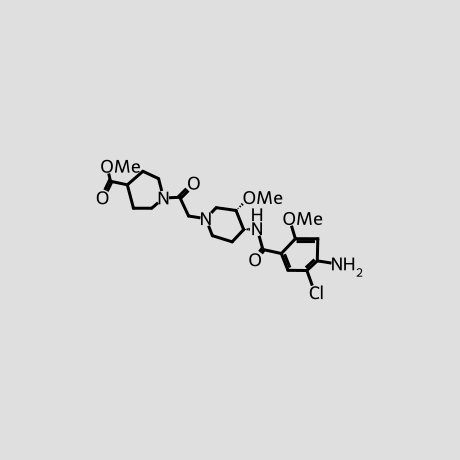 COC(=O)C1CCN(C(=O)CN2CC[C@@H](NC(=O)c3cc(Cl)c(N)cc3OC)[C@@H](OC)C2)CC1